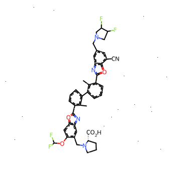 Cc1c(-c2nc3cc(CN4CCC[C@H]4C(=O)O)c(OC(F)F)cc3o2)cccc1-c1cccc(-c2nc3cc(CN4CC(F)C(F)C4)cc(C#N)c3o2)c1C